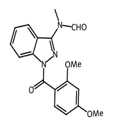 COc1ccc(C(=O)n2nc(N(C)C=O)c3ccccc32)c(OC)c1